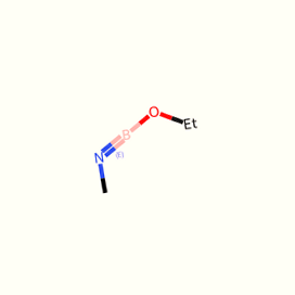 CCO/B=N/C